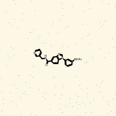 CC(=O)Nc1cccc(-n2cnc3cc(C(=O)NCc4cccnc4)ccc32)c1